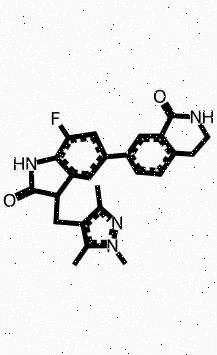 Cc1nn(C)c(C)c1CC1C(=O)Nc2c(F)cc(-c3ccc4c(c3)C(=O)NCC4)cc21